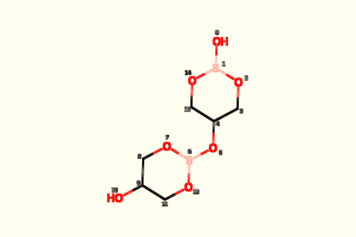 OB1OCC(OB2OCC(O)CO2)CO1